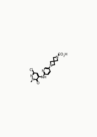 Cn1nc(Cl)cc(Nc2ccc(N3CC4(CN(C(=O)O)C4)C3)cn2)c1=O